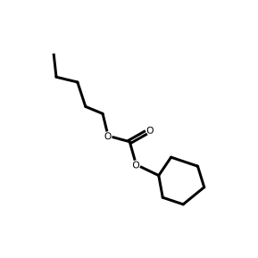 CCCCCOC(=O)OC1CCCCC1